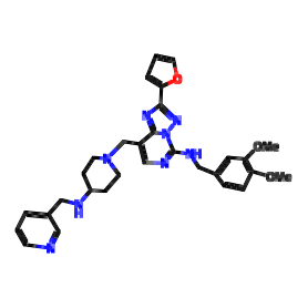 COc1ccc(CNc2ncc(CN3CCC(NCc4cccnc4)CC3)c3nc(-c4ccco4)nn23)cc1OC